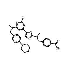 CN(Cc1ccc(C2CCCCC2)cc1)c1cc(-c2csc(N(C)Cc3ccc(C(=O)O)cc3)n2)cc(Cl)n1